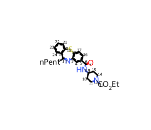 CCCCCC1=Nc2cc(C(=O)NC3CCN(C(=O)OCC)CC3)ccc2Sc2ccccc21